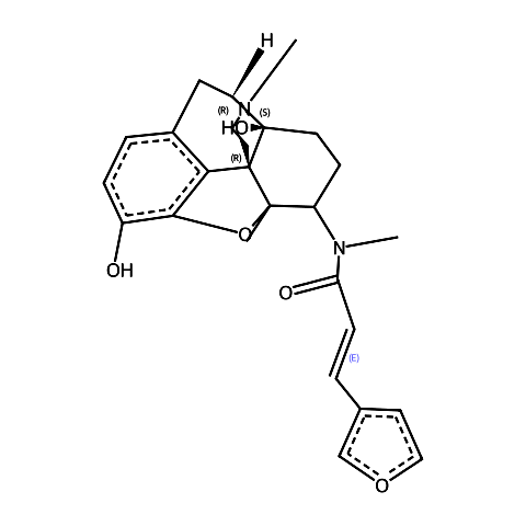 CN(C(=O)/C=C/c1ccoc1)C1CC[C@@]2(O)[C@H]3Cc4ccc(O)c5c4[C@@]2(CCN3C)C1(C)O5